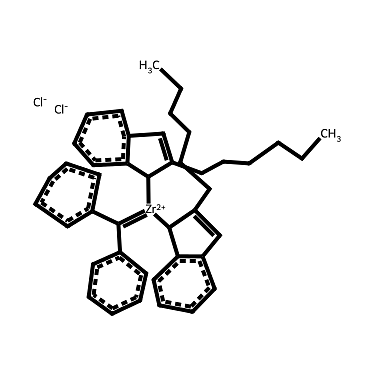 CCCCCCC1=Cc2ccccc2[CH]1[Zr+2](=[C](c1ccccc1)c1ccccc1)[CH]1C(CCCCCC)=Cc2ccccc21.[Cl-].[Cl-]